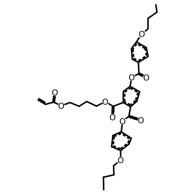 C=CC(=O)OCCCCOC(=O)c1cc(OC(=O)c2ccc(OCCCC)cc2)ccc1C(=O)Oc1ccc(OCCCC)cc1